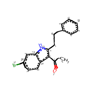 CC(=O)c1c(CCc2ccccc2)[nH]c2cc(Br)ccc12